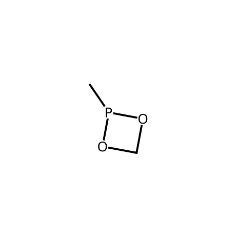 CP1OCO1